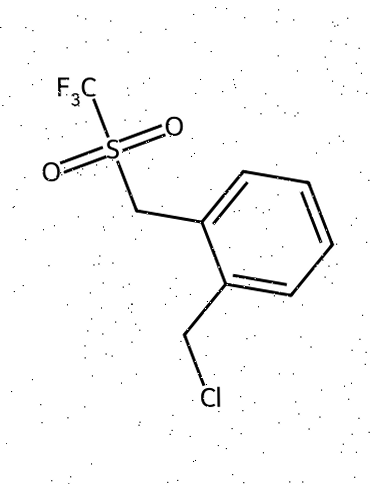 O=S(=O)(Cc1ccccc1CCl)C(F)(F)F